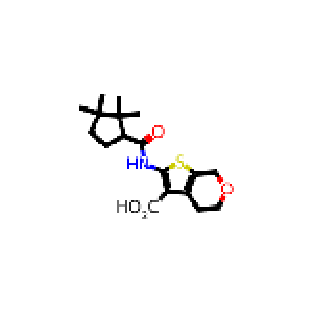 CC1(C)CCC(C(=O)Nc2sc3c(c2C(=O)O)CCOC3)C1(C)C